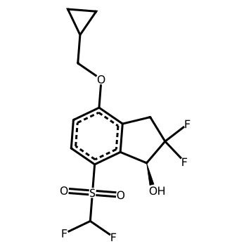 O=S(=O)(c1ccc(OCC2CC2)c2c1[C@H](O)C(F)(F)C2)C(F)F